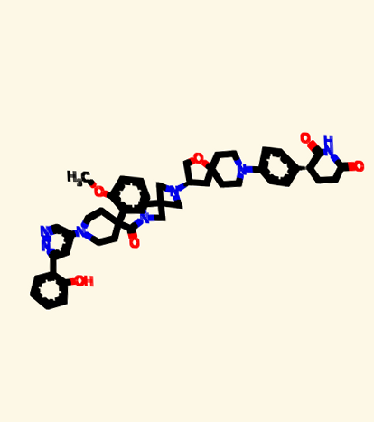 COc1ccccc1C1(C(=O)N2CC3(C2)CN([C@H]2COC4(CCN(c5ccc([C@H]6CCC(=O)NC6=O)cc5)CC4)C2)C3)CCN(c2cnnc(-c3ccccc3O)c2)CC1